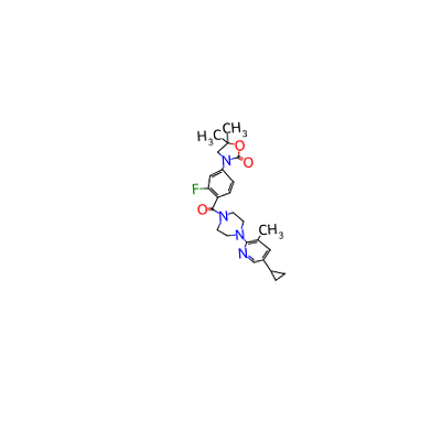 Cc1cc(C2CC2)cnc1N1CCN(C(=O)c2ccc(N3CC(C)(C)OC3=O)cc2F)CC1